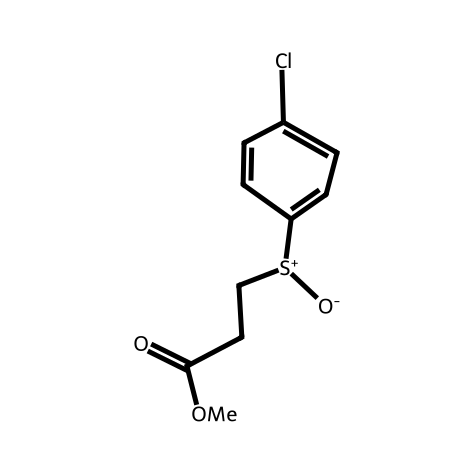 COC(=O)CC[S+]([O-])c1ccc(Cl)cc1